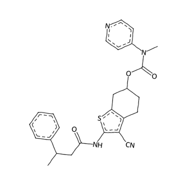 CC(CC(=O)Nc1sc2c(c1C#N)CCC(OC(=O)N(C)c1ccncc1)C2)c1ccccc1